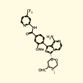 COc1cc(C(=O)Nc2cc(C(F)(F)F)ccn2)ccc1-c1nc([C@H]2CN(C=O)[C@@H](C)CO2)n2ccnc(N)c12